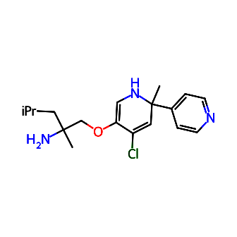 CC(C)CC(C)(N)COC1=CNC(C)(c2ccncc2)C=C1Cl